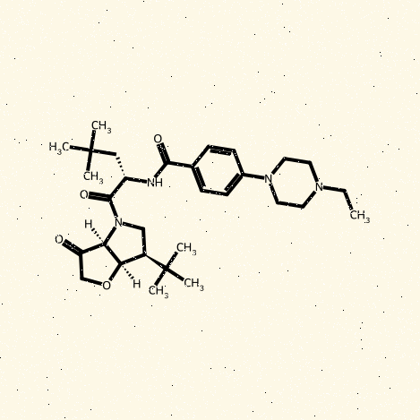 CCN1CCN(c2ccc(C(=O)N[C@@H](CC(C)(C)C)C(=O)N3C[C@@H](C(C)(C)C)[C@H]4OCC(=O)[C@H]43)cc2)CC1